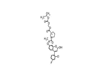 CC(C)OC(=O)OCOC(=O)[C@H]1CCCN(C(=O)[C@@H](C)Oc2ccc3c(c2)OC(O)C=C3c2ccc(F)cc2Cl)C1